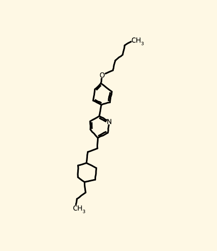 CCCCCOc1ccc(-c2ccc(CCC3CCC(CCC)CC3)cn2)cc1